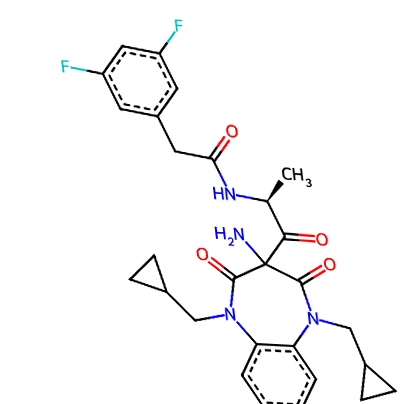 C[C@H](NC(=O)Cc1cc(F)cc(F)c1)C(=O)C1(N)C(=O)N(CC2CC2)c2ccccc2N(CC2CC2)C1=O